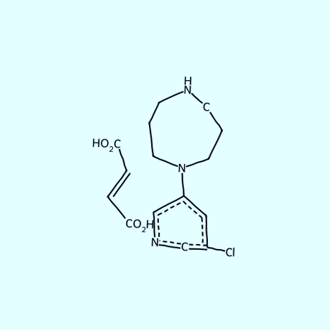 Clc1cncc(N2CCCNCCC2)c1.O=C(O)/C=C/C(=O)O